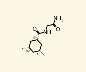 C[C@@H]1C[C@H](C)C[C@H](C(=O)NCC(N)=O)C1